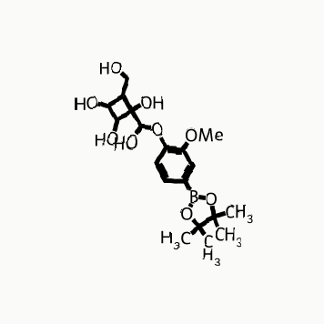 COc1cc(B2OC(C)(C)C(C)(C)O2)ccc1OC(O)C1(O)C(O)C(O)C1CO